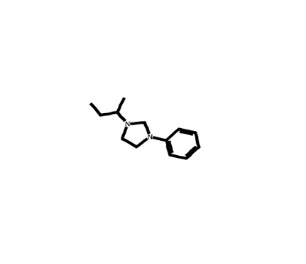 CCC(C)N1CCN(c2ccccc2)C1